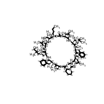 CCCCN1CC(=O)N(C)[C@@H](CC(C)C)C(=O)N[C@@H](COC(C)(C)C)C(=O)N(C)[C@@H](Cc2ccccc2)C(=O)N(C)[C@@H](CC(C)C)C(=O)N[C@H](C(=O)N2CCCCC2)CC(=O)N[C@H](CC)C(=O)N(C)[C@@H](Cc2ccccc2)C(=O)N[C@@H](COCC(C)(C)CO)C(=O)N(C)[C@@H](CC(C)C)C(=O)N[C@@H]([C@@H](C)O)C1=O